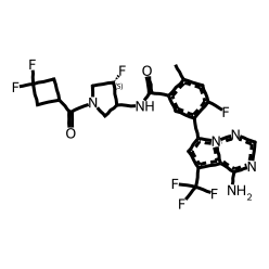 Cc1cc(F)c(-c2cc(C(F)(F)F)c3c(N)ncnn23)cc1C(=O)NC1CN(C(=O)C2CC(F)(F)C2)C[C@@H]1F